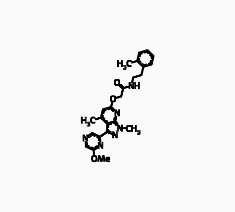 COc1cncc(-c2nn(C)c3nc(OCC(=O)NCCc4ccccc4C)cc(C)c23)n1